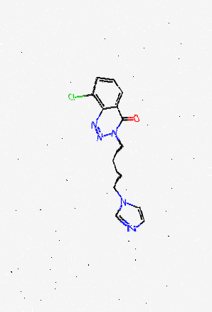 O=c1c2cccc(Cl)c2nnn1CCCCn1ccnc1